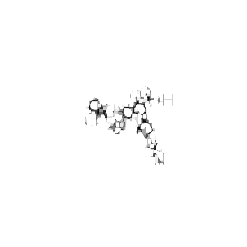 CN1CC2(C1)CN(c1ccc(-n3cc(C(=O)O)c(=O)c4cc(Cl)c(N5CCC[C@@H]5COc5ncccc5Cl)cc43)cn1)C2